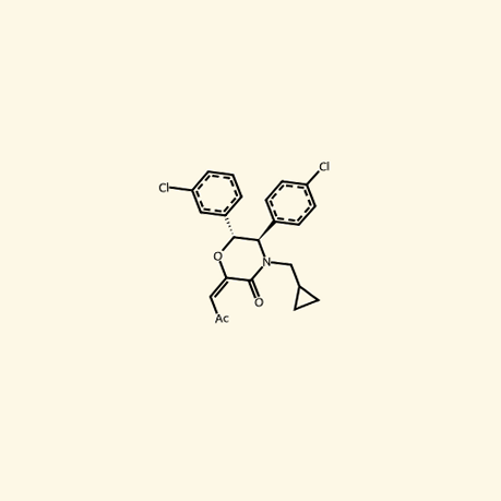 CC(=O)/C=C1/O[C@H](c2cccc(Cl)c2)[C@@H](c2ccc(Cl)cc2)N(CC2CC2)C1=O